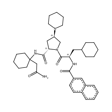 NC(=O)CC1(NC(=O)[C@@H]2C[C@@H](N3CCCCC3)CN2C(=O)[C@@H](CC2CCCCC2)NC(=O)c2ccc3ccccc3c2)CCCCC1